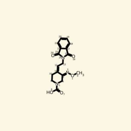 CON=C1CN(C(=O)O)CCC1=CCN1C(=O)c2ccccc2C1=O